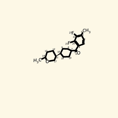 Cc1ccc(C(=O)C2CCC([C@@H]3CCC(C)OC3)CC2)c(F)c1F